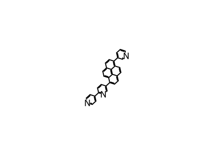 c1cncc(-c2ccc3ccc4c(-c5ccc(-c6ccncc6)nc5)ccc5ccc2c3c54)c1